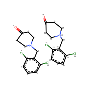 O=C1CCN(Cc2c(Cl)cccc2Cl)CC1.O=C1CCN(Cc2c(Cl)cccc2Cl)CC1